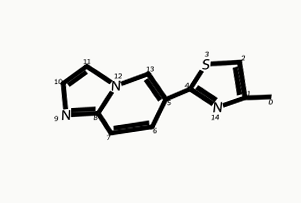 Cc1csc(-c2ccc3nccn3c2)n1